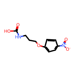 O=C(O)NCCCOc1ccc([N+](=O)[O-])cc1